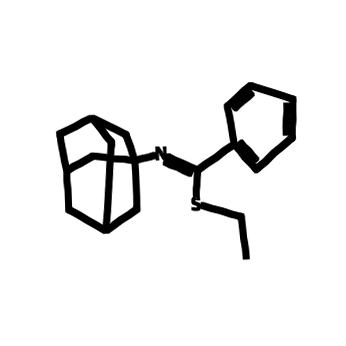 CCS/C(=N\C12CC3CC(CC(C3)C1)C2)c1ccccc1